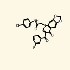 O=C(Cn1cc(C(=O)c2cccc(F)c2)c(=O)c2cc3c(cc21)OCO3)Nc1ccc(Cl)cc1